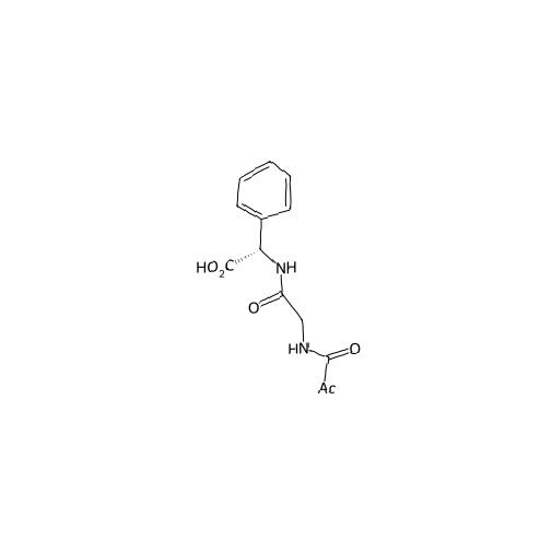 CC(=O)C(=O)NCC(=O)N[C@H](C(=O)O)c1ccccc1